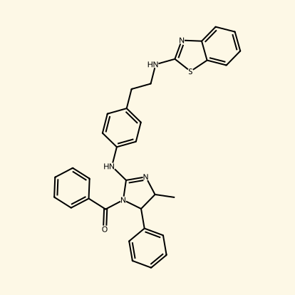 CC1N=C(Nc2ccc(CCNc3nc4ccccc4s3)cc2)N(C(=O)c2ccccc2)C1c1ccccc1